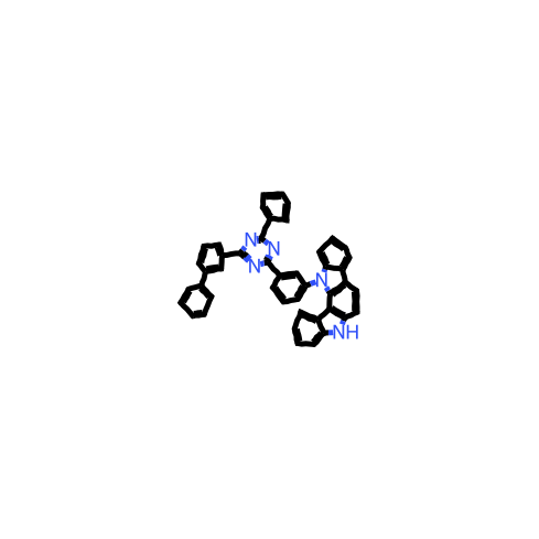 c1ccc(-c2cccc(-c3nc(-c4ccccc4)nc(-c4cccc(-n5c6ccccc6c6ccc7[nH]c8ccccc8c7c65)c4)n3)c2)cc1